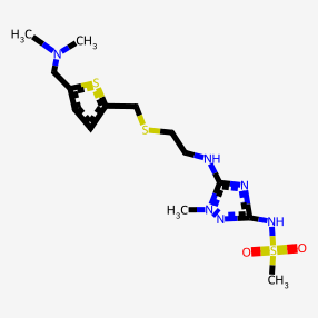 CN(C)Cc1ccc(CSCCNc2nc(NS(C)(=O)=O)nn2C)s1